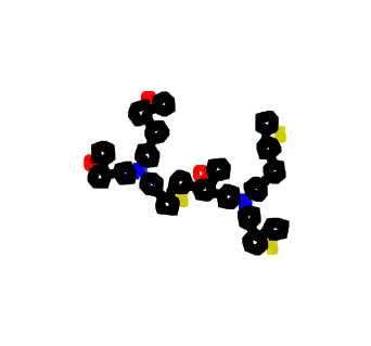 c1cc(-c2ccc(N(c3ccc(-c4cccc5sc6ccccc6c45)cc3)c3ccc(-c4ccc(-c5cccc6c5sc5cccc(-c7ccc(N(c8ccc(-c9cccc(-c%10cccc%11oc%12ccccc%12c%10%11)c9)cc8)c8ccc(-c9cccc%10oc%11ccccc%11c9%10)cc8)cc7)c56)c5oc6ccccc6c45)cc3)cc2)cc(-c2ccc3c(c2)sc2ccccc23)c1